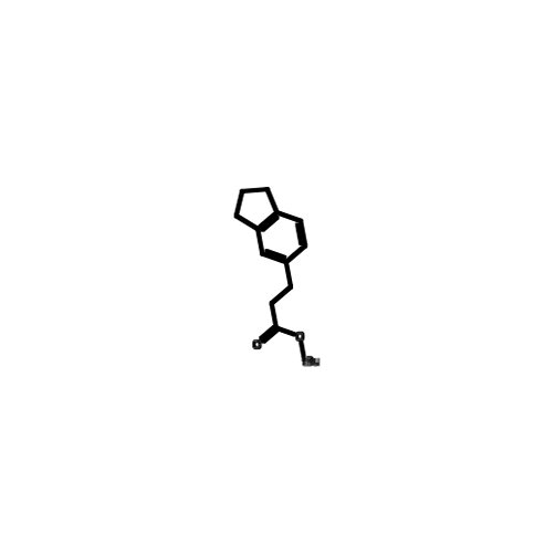 CC(C)(C)OC(=O)CCc1ccc2c(c1)CCC2